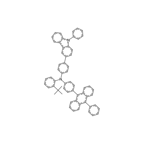 CC(C)(C)c1ccccc1N(c1ccc(-c2ccc3c(c2)c2ccccc2n3-c2ccccc2)cc1)c1ccc(-c2c3ccccc3c(-c3ccccc3)c3ccccc23)cc1